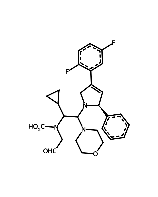 O=CCN(C(=O)O)C(C1CC1)C(N1CCOCC1)N1CC(c2cc(F)ccc2F)=C[C@H]1c1ccccc1